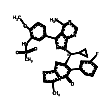 COc1ccc(-c2nn([C@H](c3cc4scc(C)n4c(=O)c3-c3cccc(F)c3)C3CC3)c3ncnc(N)c23)cc1NS(C)(=O)=O